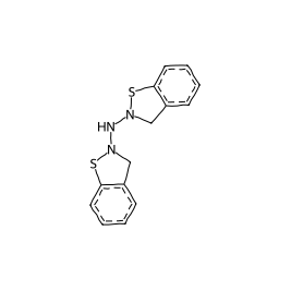 c1ccc2c(c1)CN(NN1Cc3ccccc3S1)S2